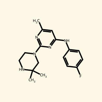 Cc1cc(Nc2ccc(F)cc2)nc(N2CCNC(C)(C)C2)n1